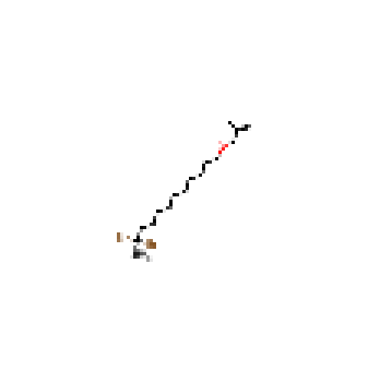 C=C(C)COCCCCCCCCCCC([SiH3])(Br)Br